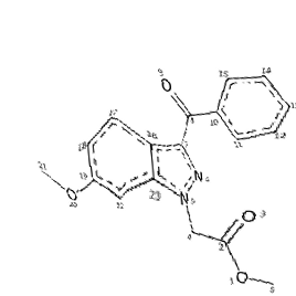 COC(=O)Cn1nc(C(=O)c2ccccc2)c2ccc(OC)cc21